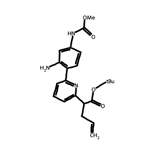 C=CCC(C(=O)OC(C)(C)C)c1cccc(-c2ccc(NC(=O)OC)cc2N)n1